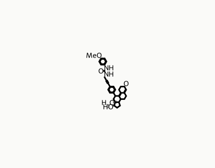 COc1ccc(NC(=O)NCC#Cc2ccc(C3C[C@]4(C)C(O)CCC4C4CCC5=CC(=O)CCC5=C34)cc2)cc1